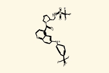 O=C(c1ccnc2ccc(Nc3ccc(C(F)(F)F)cc3)cc12)N1CCCC1CNS(=O)(=O)C(F)(F)F